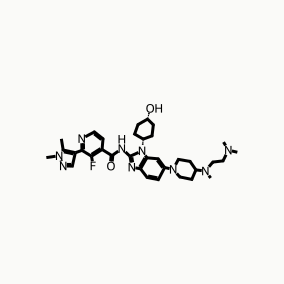 Cc1c(-c2nccc(C(=O)Nc3nc4ccc(N5CCC(N(C)CCN(C)C)CC5)cc4n3[C@H]3CC[C@@H](O)CC3)c2F)cnn1C